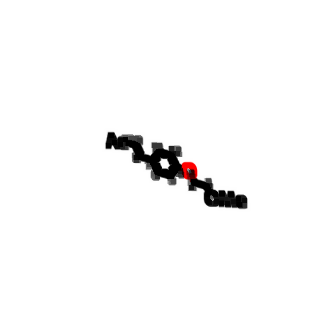 COCCOc1ccc(/C=C/C(C)=O)cc1